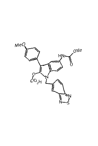 COC(=O)Nc1ccc2c(c1)c(-c1ccc(OC)cc1)c(OC(=O)O)n2Cc1ccc2nsnc2c1